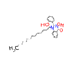 CCCCCCCCCCCCCCN1c2ccccc2C(=O)N(O)C1c1ccccc1O